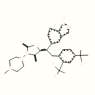 CN1CCN(N2C(=O)S/C(=C(/Cc3ccc(C(F)(F)F)cc3C(F)(F)F)c3ccc4[nH]ncc4c3)C2=O)CC1